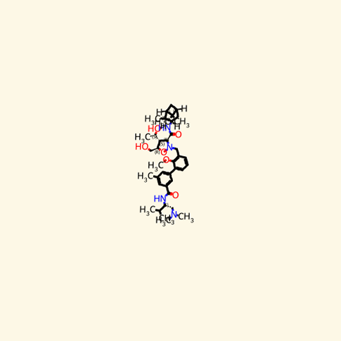 COc1c(CN2O[C@@H](CO)[C@H]([C@H](C)O)[C@H]2C(=O)N[C@H]2C[C@H]3C[C@@H]([C@@H]2C)C3(C)C)cccc1-c1cc(C)cc(C(=O)N[C@H](CN(C)C)C(C)C)c1